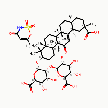 CC1(C)[C@@H](O[C@H]2O[C@H](C(=O)O)[C@@H](O)[C@H](O)[C@H]2O[C@@H]2O[C@H](C(=O)O)[C@@H](O)[C@H](O)[C@H]2O)CC[C@]2(C)[C@H]3C(=O)C=C4[C@@H]5C[C@@](C)(C(=O)O)CC[C@]5(C)CC[C@@]4(C)[C@]3(C)CC[C@@H]12.CC1=CC(=O)NS(=O)(=O)O1